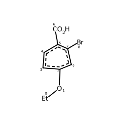 CCOc1ccc(C(=O)O)c(Br)c1